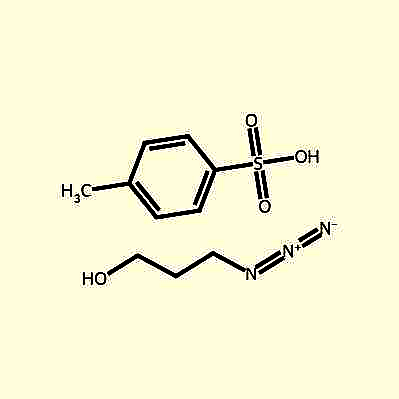 Cc1ccc(S(=O)(=O)O)cc1.[N-]=[N+]=NCCCO